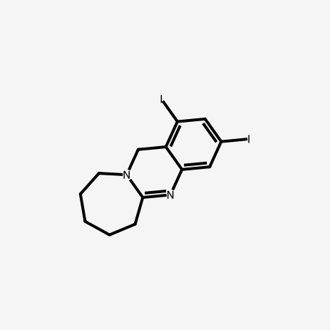 Ic1cc(I)c2c(c1)N=C1CCCCCN1C2